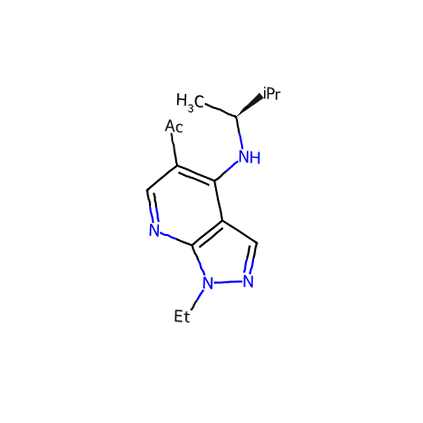 CCn1ncc2c(N[C@@H](C)C(C)C)c(C(C)=O)cnc21